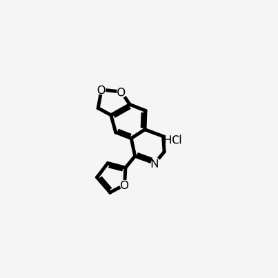 Cl.c1coc(C2=NCCc3cc4c(cc32)COO4)c1